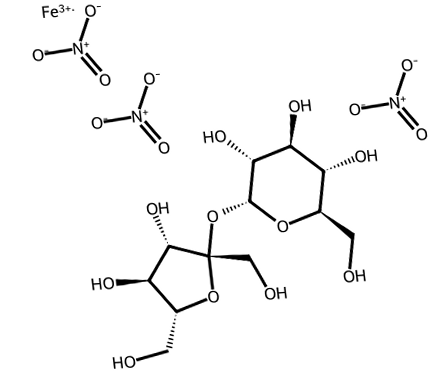 O=[N+]([O-])[O-].O=[N+]([O-])[O-].O=[N+]([O-])[O-].OC[C@H]1O[C@@](CO)(O[C@H]2O[C@H](CO)[C@@H](O)[C@H](O)[C@H]2O)[C@@H](O)[C@@H]1O.[Fe+3]